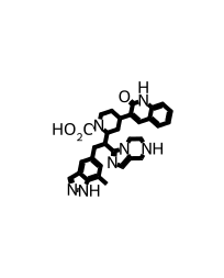 Cc1cc(CC(c2ncc3n2CCNC3)C2CC(c3cc4ccccc4[nH]c3=O)CCN2C(=O)O)cc2cn[nH]c12